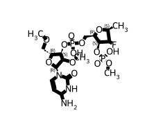 COC[C@H]1O[C@@H](N2C=CC(N)NC2=O)C(OC)[C@H]1OP(=O)(O)OC[C@H]1O[C@@H](C)C(F)[C@H]1OP(=O)(O)OC